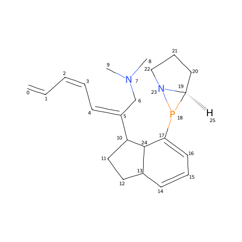 C=C/C=C\C=C(/CN(C)C)C1CCC2C=CC=C(P3[C@@H]4CCCN43)C21